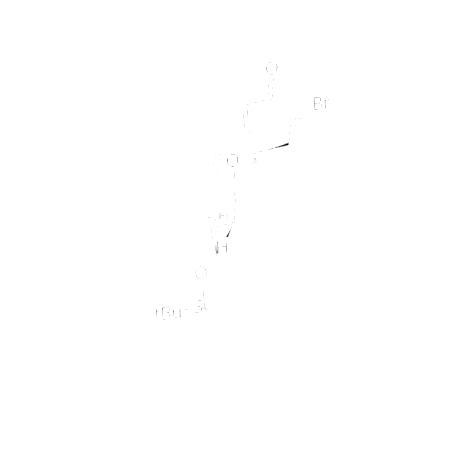 CC(C)(C)[Si](C)(C)O[C@H]1CC[C@@H]2[C@]1(C)CCC1=CC3=CC(=O)[C@H](Br)C[C@]34CC[C@@]12O4